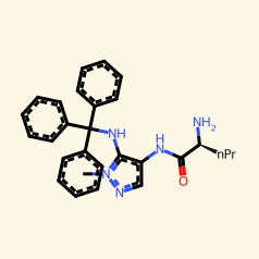 CCC[C@H](N)C(=O)Nc1cnn(C)c1NC(c1ccccc1)(c1ccccc1)c1ccccc1